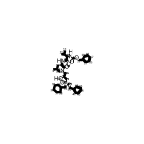 CC(C)C[C@@H](NC(=O)[C@@H](NC(=O)OCc1ccccc1)C(C)C)C(=O)NC[C@@H](O)C[P@](=O)(CC1CCCCC1)OCc1ccccc1